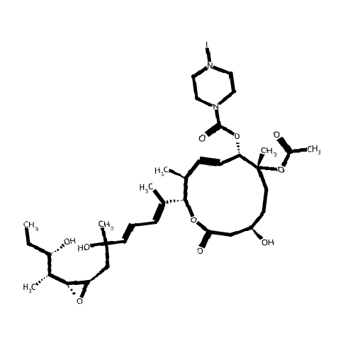 CC[C@H](O)[C@@H](C)[C@H]1O[C@@H]1CC(C)(O)/C=C/C=C(\C)[C@H]1OC(=O)C[C@H](O)CC[C@@](C)(OC(C)=O)[C@@H](OC(=O)N2CCN(I)CC2)/C=C/[C@@H]1C